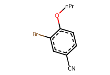 CCCOc1ccc(C#N)cc1Br